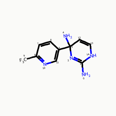 NC1=NC(N)(c2ccc(C(F)(F)F)nc2)C=CN1